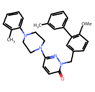 COc1ccc(Cn2nc(N3CCN(c4ccccc4C)CC3)ccc2=O)cc1-c1cccc(C)c1